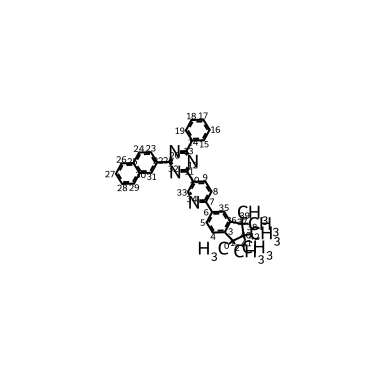 CC1(C)c2ccc(-c3ccc(-c4nc(-c5ccccc5)nc(-c5ccc6ccccc6c5)n4)cn3)cc2C(C)(C)C1(C)C